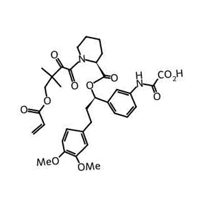 C=CC(=O)OCC(C)(C)C(=O)C(=O)N1CCCC[C@H]1C(=O)O[C@H](CCc1ccc(OC)c(OC)c1)c1cccc(NC(=O)C(=O)O)c1